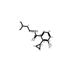 CC(C)CCNC(=O)c1cccc(Cl)c1C1CC1